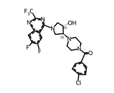 O=C(c1ccc(Cl)cc1)N1CCN([C@H]2CN(c3nc(C(F)(F)F)nc4cc(F)c(F)cc34)C[C@@H]2O)CC1